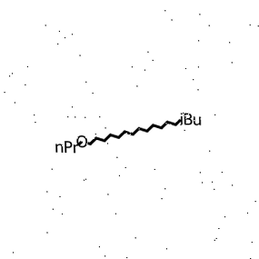 CCCOCCCCCCCCCCCCCC(C)CC